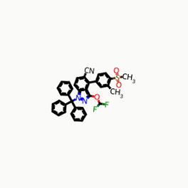 Cc1cc(-c2c(C#N)ccc3c2c(OC(F)F)nn3C(c2ccccc2)(c2ccccc2)c2ccccc2)ccc1S(C)(=O)=O